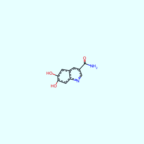 NC(=O)c1cnc2cc(O)c(O)cc2c1